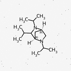 CC(C)C1[C@H]2C[C@H](CN2C(C)C)N1C(C)C